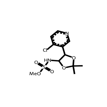 COS(=O)(=O)NC1OC(C)(C)OC1c1cnccc1Cl